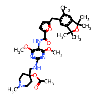 COc1nc(NCC2(OC(C)=O)CCN(C)CC2)nc(OC)c1NC(=O)c1ccc(Cc2cc3c(cc2C)C(C)(C)OC3(C)C)o1